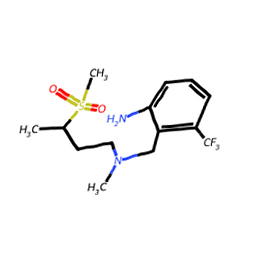 CC(CCN(C)Cc1c(N)cccc1C(F)(F)F)S(C)(=O)=O